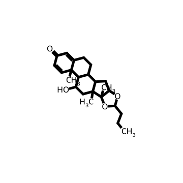 CCCC1OC2CC3C4CCC5=CC(=O)C=CC5(C)C4C(O)CC3(C)C2(C)O1